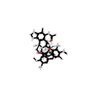 COc1cc2c(cc1O)CCN[C@]21CS[C@@H]2c3c(OC(C)=O)c(C)c4c(c3[C@H](COC1=O)N1C(O)C3Cc5cc(C)c(OC)c(O)c5[C@@H]([C@H]21)N3C)OCO4